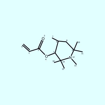 C=CC(=O)OC1C(C)CC(C)(C)N(C)C1(C)C